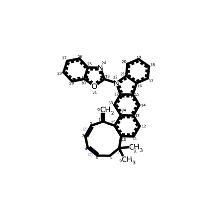 C=C1/C=C\C=C/CC(C)(C)c2ccc3cc4c5ccccc5n(-c5nc6ccccc6o5)c4cc3c21